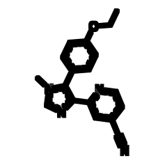 CCOc1ccc(-c2c(-c3cc(C#N)ccn3)ncn2C)cc1